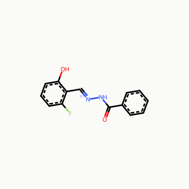 O=C(N/N=C/c1c(O)cccc1F)c1ccccc1